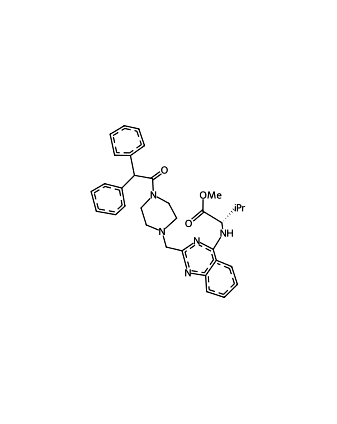 COC(=O)[C@@H](Nc1nc(CN2CCN(C(=O)C(c3ccccc3)c3ccccc3)CC2)nc2ccccc12)C(C)C